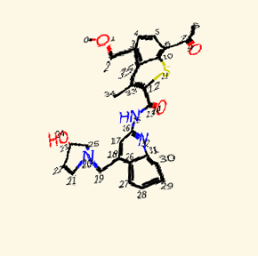 COCc1ccc(C(C)=O)c2sc(C(=O)Nc3cc(CN4CCC(O)C4)c4ccccc4n3)c(C)c12